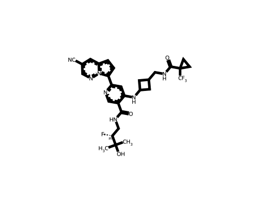 CC(C)(O)[C@H](F)CNC(=O)c1cnc(-c2ccc3cc(C#N)cnn23)cc1NC1CC(CNC(=O)C2(C(F)(F)F)CC2)C1